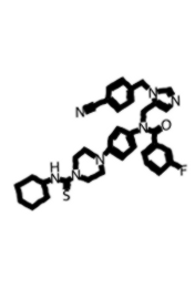 N#Cc1ccc(Cn2cncc2CN(C(=O)c2cccc(F)c2)c2ccc(N3CCN(C(=S)NC4CCCCC4)CC3)cc2)cc1